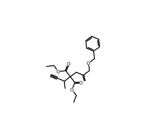 C#CC(C)C(CC(=C)COCc1ccccc1)(C(=O)OCC)C(=O)OCC